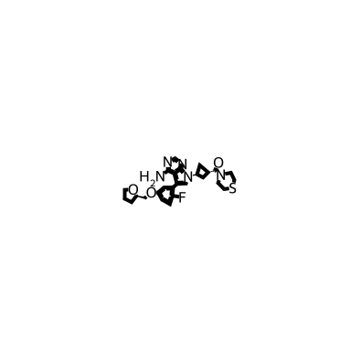 Nc1ncnc2c1c(-c1cc(OC[C@H]3CCCO3)ccc1F)cn2[C@H]1C[C@@H](C(=O)N2CCSCC2)C1